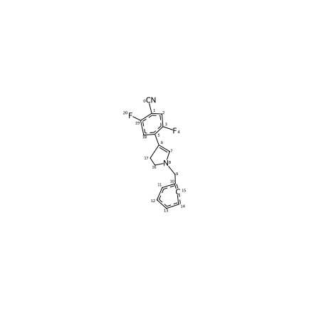 N#Cc1cc(F)c(C2=CN(Cc3ccccc3)CC2)cc1F